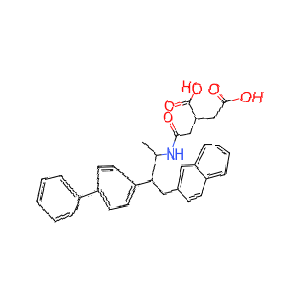 CC(NC(=O)CC(CC(=O)O)C(=O)O)C(Cc1ccc2ccccc2c1)c1ccc(-c2ccccc2)cc1